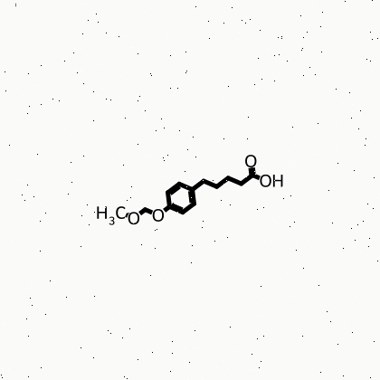 COCOc1ccc(CCCCC(=O)O)cc1